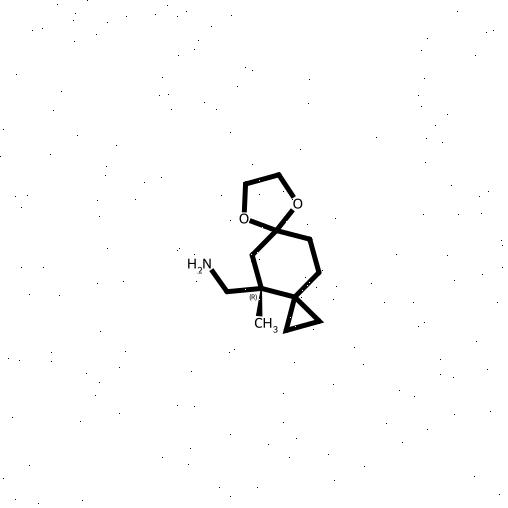 C[C@@]1(CN)CC2(CCC13CC3)OCCO2